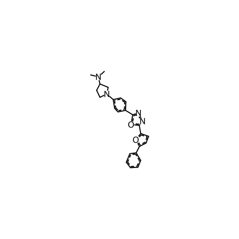 CN(C)C1CCN(c2ccc(-c3nnc(-c4ccc(-c5ccccc5)o4)o3)cc2)C1